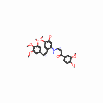 COc1ccc(C(=O)/C=C\Nc2cc(OC)c(OC)cc2/C=C\c2cc(OC)c(OC)c(OC)c2)cc1OC